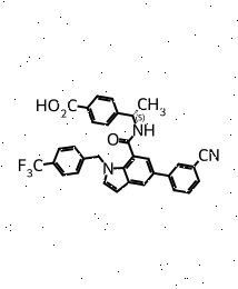 C[C@H](NC(=O)c1cc(-c2cccc(C#N)c2)cc2ccn(Cc3ccc(C(F)(F)F)cc3)c12)c1ccc(C(=O)O)cc1